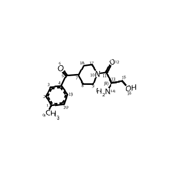 Cc1ccc(C(=O)C2CCN(C(=O)[C@H](N)CO)CC2)cc1